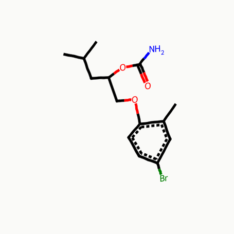 Cc1cc(Br)ccc1OCC(CC(C)C)OC(N)=O